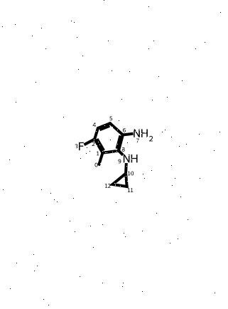 Cc1c(F)ccc(N)c1NC1CC1